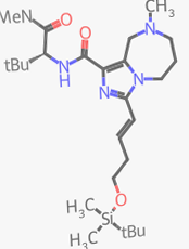 CNC(=O)[C@@H](NC(=O)c1nc(/C=C/CCO[Si](C)(C)C(C)(C)C)n2c1CN(C)CCC2)C(C)(C)C